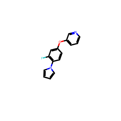 Fc1cc(Oc2cccnc2)ccc1-n1c[c]cc1